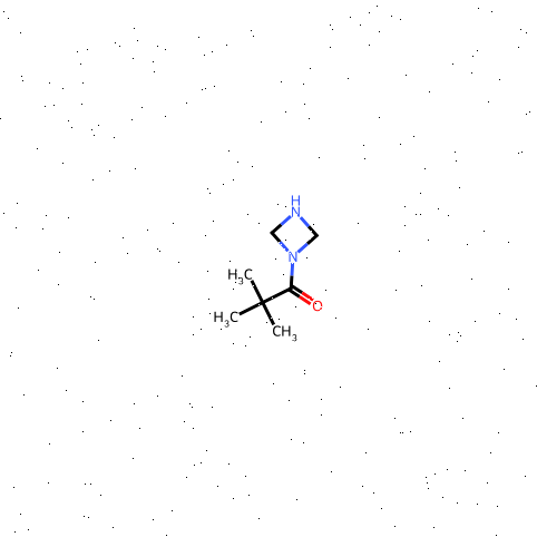 CC(C)(C)C(=O)N1CNC1